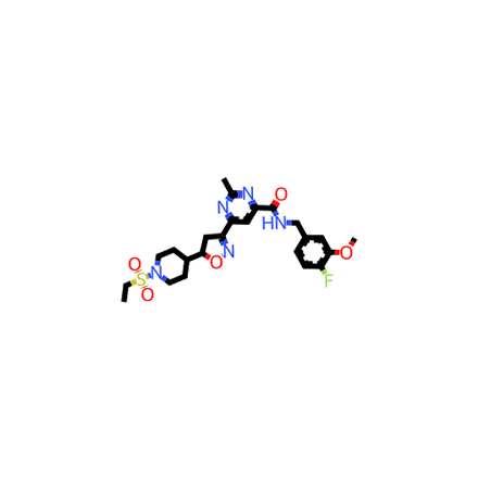 CCS(=O)(=O)N1CCC(C2CC(c3cc(C(=O)NCc4ccc(F)c(OC)c4)nc(C)n3)=NO2)CC1